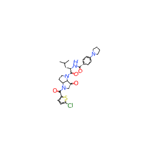 CC(C)CC(NC(=O)c1ccc(N2CCCC2)cc1)C(=O)N1CCC2C1C(=O)CN2C(=O)c1ccc(Cl)s1